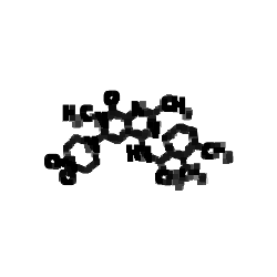 Cc1nc(N[C@H](C)c2cccc(C(F)(F)F)c2C)c2cc(N3CCS(=O)(=O)CC3)n(C)c(=O)c2n1